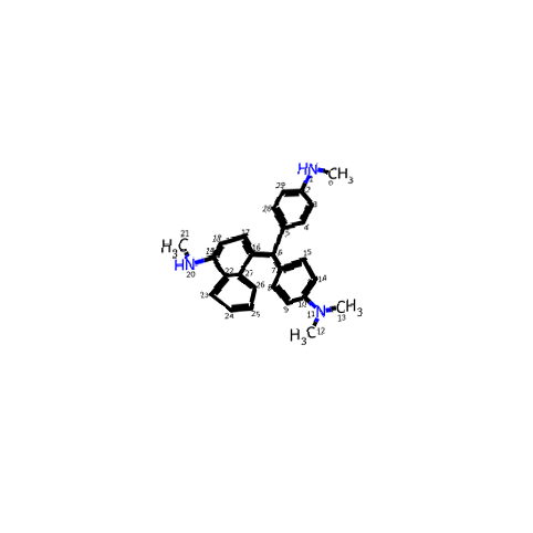 CNc1ccc(C(c2ccc(N(C)C)cc2)c2ccc(NC)c3ccccc23)cc1